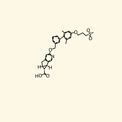 Cc1cc(OCCCS(C)(=O)=O)cc(C)c1-c1cccc(COc2cc3c(cn2)[C@H]2[C@@H](C3)[C@@H]2C(=O)O)c1